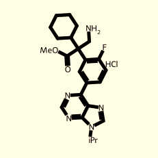 COC(=O)C(CN)(c1cc(-c2ncnc3c2ncn3C(C)C)ccc1F)C1CCCCC1.Cl